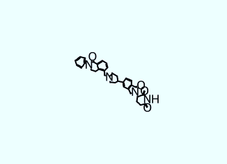 O=C1CCC(N2Cc3cc(C4CCN(Cc5cccc6c5CCN(c5ccccc5)C6=O)CC4)ccc3C2=O)C(=O)N1